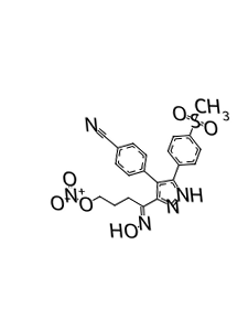 CS(=O)(=O)c1ccc(-c2[nH]nc(C(CCCO[N+](=O)[O-])=NO)c2-c2ccc(C#N)cc2)cc1